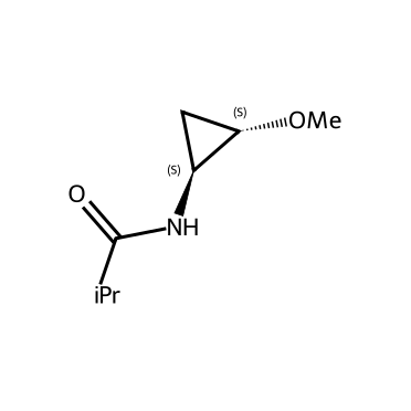 CO[C@H]1C[C@@H]1NC(=O)C(C)C